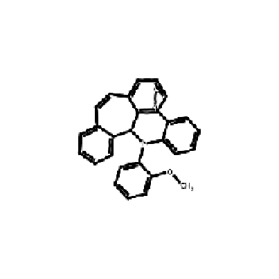 COc1ccccc1P(c1ccccc1OC)C1c2ccccc2C=Cc2ccccc21